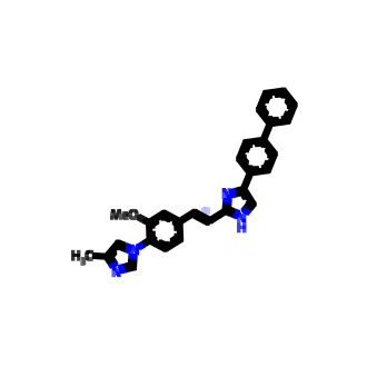 COc1cc(/C=C/c2nc(-c3ccc(-c4ccccc4)cc3)c[nH]2)ccc1-n1cnc(C)c1